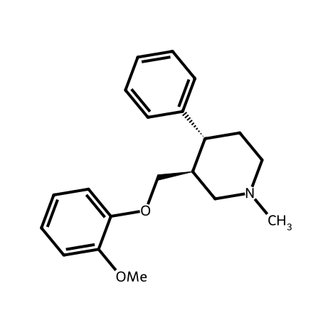 COc1ccccc1OC[C@@H]1CN(C)CC[C@H]1c1ccccc1